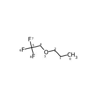 CC[CH]OCC(F)(F)F